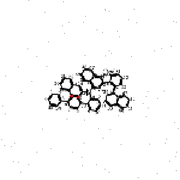 c1ccc(-c2ccc(-c3ccccc3N(c3ccc4ccccc4c3)c3cc4c(oc5cccc(-c6cccc7ccccc67)c54)c4ccccc34)cc2)cc1